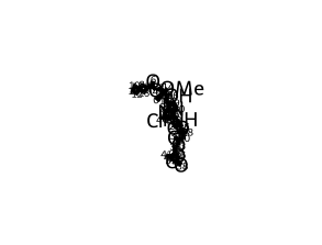 C#CC(COC(=O)C1CC2(CCC2)C1)(OC)[C@@H](O)Cn1cnc2c(NC(=O)OC(C)(C)CC(=O)OCc3oc(=O)oc3C)nc(Cl)nc21